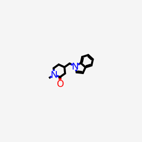 CN1CCC(Cn2ccc3ccccc32)CC1=O